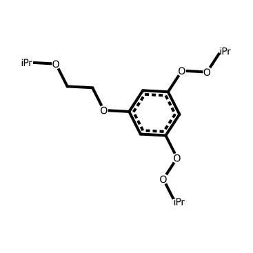 CC(C)OCCOc1cc(OOC(C)C)cc(OOC(C)C)c1